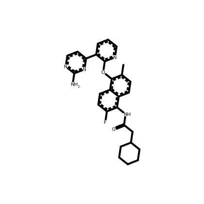 Cc1ccc2c(NC(=O)CC3CCCCC3)c(F)ccc2c1Oc1ncccc1-c1ccnc(N)n1